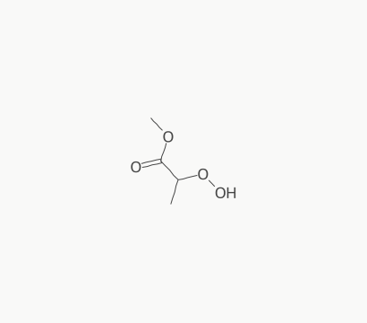 COC(=O)C(C)OO